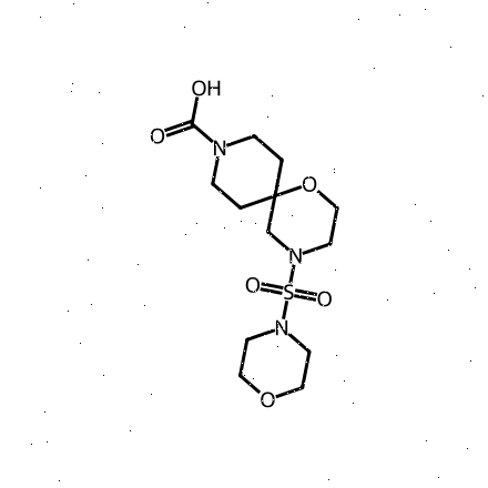 O=C(O)N1CCC2(CC1)CN(S(=O)(=O)N1CCOCC1)CCO2